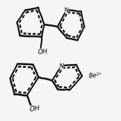 Oc1ccccc1-c1ccccn1.Oc1ccccc1-c1ccccn1.[Be+2]